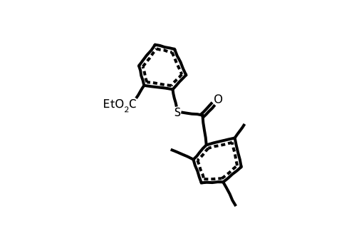 CCOC(=O)c1ccccc1SC(=O)c1c(C)cc(C)cc1C